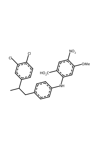 COc1cc(Nc2ccc(CC(C)c3ccc(Cl)c(Cl)c3)cc2)c(C(=O)O)cc1[N+](=O)[O-]